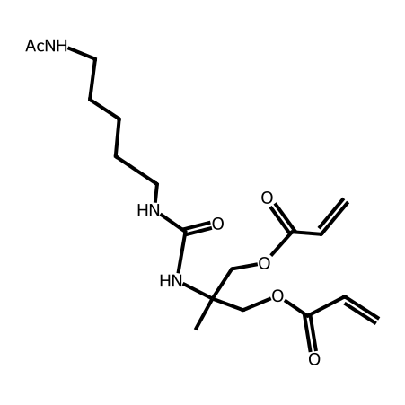 C=CC(=O)OCC(C)(COC(=O)C=C)NC(=O)NCCCCCNC(C)=O